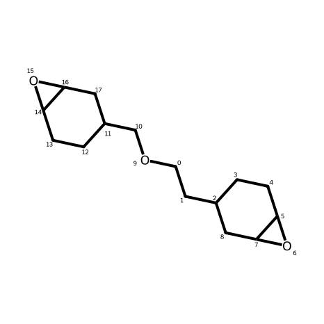 C(CC1CCC2OC2C1)OCC1CCC2OC2C1